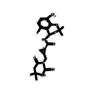 CC1(C)CC(=O)N(CC2C[C@H]2C(=O)NC2CC(C)(C)Oc3c(C(F)(F)F)ccc(F)c32)C(=N)N1